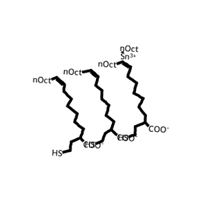 CCCCCCCC/C=C\CCCCCCC(CCS)C(=O)[O-].CCCCCCCC/C=C\CCCCCCC(CCS)C(=O)[O-].CCCCCCCC/C=C\CCCCCCC(CCS)C(=O)[O-].CCCCCCC[CH2][Sn+3]